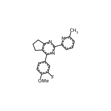 COc1ccc(-c2nc(-c3cccc(C)n3)nc3c2CCC3)cc1F